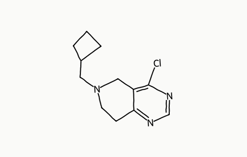 Clc1ncnc2c1CN(CC1CCC1)CC2